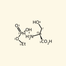 CCO[PH](=O)O.N[C@@H](CO)C(=O)O